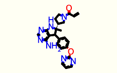 C=CC(=O)N1CC[C@@H](C2(C)Nc3ncnc(N)c3C2c2ccc(Oc3ncccn3)cc2)C1